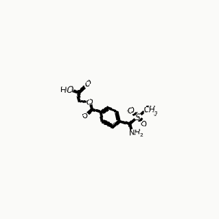 CS(=O)(=O)C(N)c1ccc(C(=O)OCC(=O)O)cc1